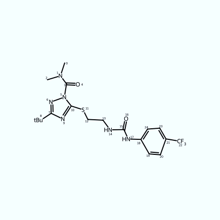 CN(C)C(=O)n1nc(C(C)(C)C)nc1SCCNC(=O)Nc1ccc(C(F)(F)F)cc1